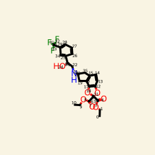 CCOC(=O)C1(C(=O)OCC)Oc2ccc3c(c2O1)C[C@@H](NC[C@H](O)c1cccc(C(F)(F)F)c1)C3